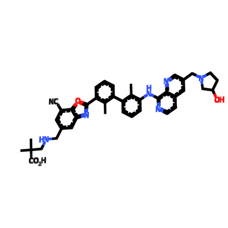 Cc1c(Nc2nccc3cc(CN4CCC(O)C4)cnc23)cccc1-c1cccc(-c2nc3cc(CNCC(C)(C)C(=O)O)cc(C#N)c3o2)c1C